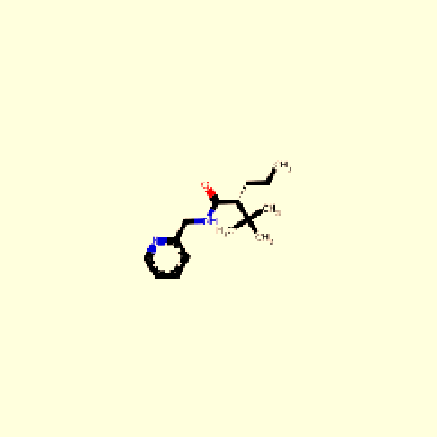 CCC[C@@H](C(=O)NCc1ccccn1)C(C)(C)C